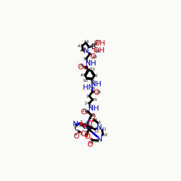 CC12OC(=O)CN3CCN(CCN4CC(=O)OC1(CN(CC(=O)NCCCC(=O)NNc1ccc(C(=O)NCC(=O)N5CCC[C@H]5B(O)O)cc1)CC3)C4)CC(=O)O2